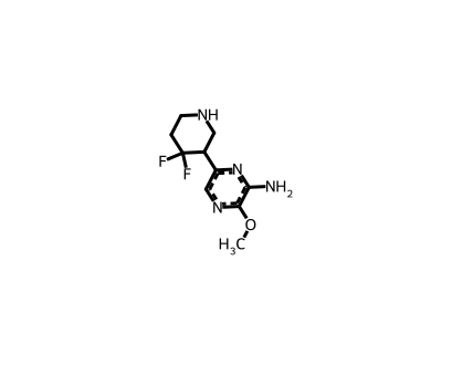 COc1ncc(C2CNCCC2(F)F)nc1N